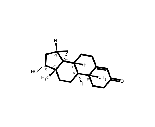 C[C@]12CCC(=O)C=C1CC[C@@H]1[C@@H]2CC[C@]2(C)[C@H](O)C[C@@H]3C[C@]312